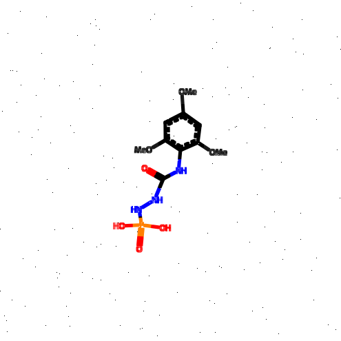 COc1cc(OC)c(NC(=O)NNP(=O)(O)O)c(OC)c1